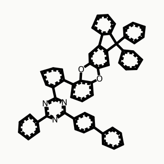 c1ccc(-c2ccc(-c3nc(-c4ccccc4)nc(-c4ccccc4-c4cccc5c4Oc4cc6c(cc4O5)C(c4ccccc4)(c4ccccc4)c4ccccc4-6)n3)cc2)cc1